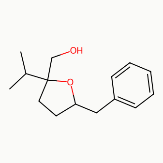 CC(C)C1(CO)CCC(Cc2ccccc2)O1